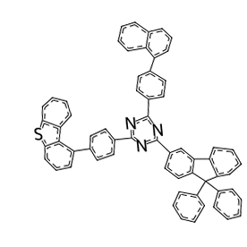 c1ccc(C2(c3ccccc3)c3ccccc3-c3cc(-c4nc(-c5ccc(-c6cccc7ccccc67)cc5)nc(-c5ccc(-c6cccc7sc8ccccc8c67)cc5)n4)ccc32)cc1